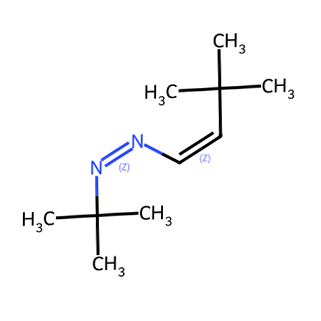 CC(C)(C)/C=C\N=N/C(C)(C)C